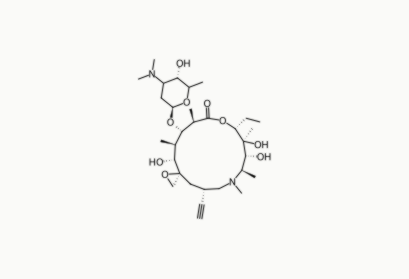 C#C[C@H]1CN(C)[C@H](C)[C@@H](O)[C@](C)(O)[C@@H](CC)OC(=O)[C@H](C)[C@@H](O[C@H]2CC(N(C)C)[C@H](O)C(C)O2)[C@H](C)[C@@H](O)[C@@]2(CO2)C1